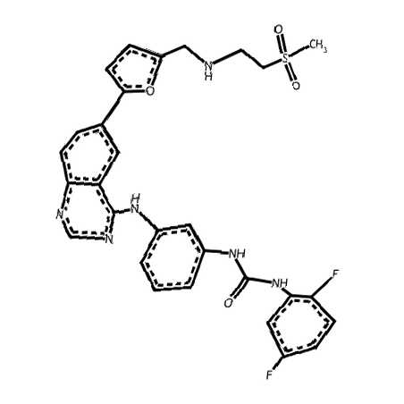 CS(=O)(=O)CCNCc1ccc(-c2ccc3ncnc(Nc4cccc(NC(=O)Nc5cc(F)ccc5F)c4)c3c2)o1